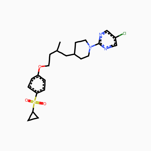 CC(CCOc1ccc(S(=O)(=O)C2CC2)cc1)CC1CCN(c2ncc(Cl)cn2)CC1